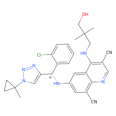 CC(C)(CO)CNc1c(C#N)cnc2c(C#N)cc(N[C@H](c3cn(C4(C)CC4)nn3)c3ccccc3Cl)cc12